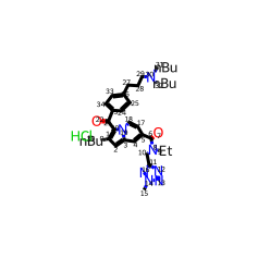 CCCCc1cc2cc(C(=O)N(CC)Cc3nnn(C)n3)ccn2c1C(=O)c1ccc(CCCN(CCCC)CCCC)cc1.Cl